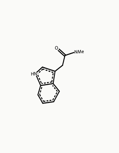 CNC(=O)Cc1c[nH]c2ccccc12